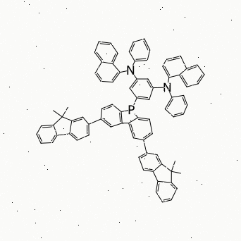 CC1(C)c2ccccc2-c2ccc(-c3ccc4c(c3)c3cc(-c5ccc6c(c5)C(C)(C)c5ccccc5-6)ccc3p4-c3cc(N(c4ccccc4)c4cccc5ccccc45)cc(N(c4ccccc4)c4cccc5ccccc45)c3)cc21